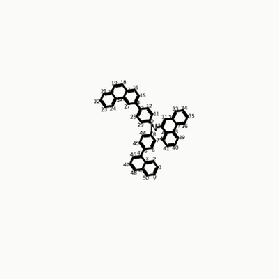 c1ccc2c(-c3ccc(N(c4ccc(-c5ccc6ccc7ccccc7c6c5)cc4)c4cc5ccccc5c5ccccc45)cc3)cccc2c1